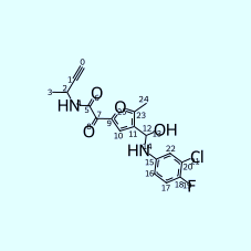 C#CC(C)NC(=O)C(=O)c1cc(C(O)Nc2ccc(F)c(Cl)c2)c(C)o1